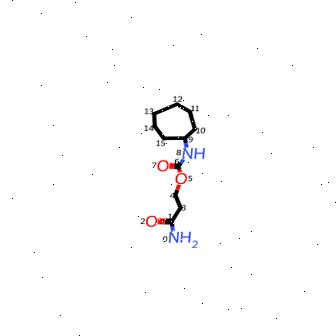 NC(=O)CCOC(=O)NC1CCCCCC1